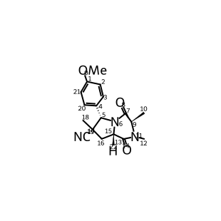 COc1ccc([C@@H]2N3C(=O)[C@@H](C)N(C)C(=O)[C@@H]3C[C@]2(C)C#N)cc1